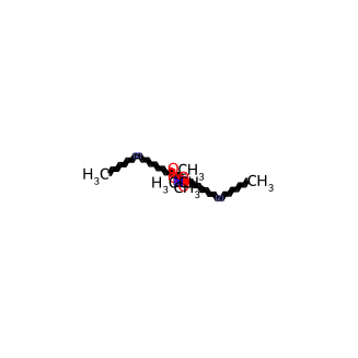 CCCCCCCC/C=C\CCCCCCCC(=O)OC(CC)(OC(=O)CCCCCCC/C=C\CCCCCCCC)[N+](C)(C)C